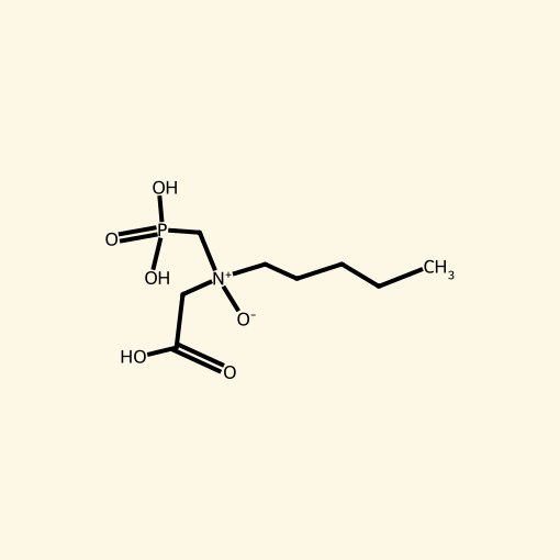 CCCCC[N+]([O-])(CC(=O)O)CP(=O)(O)O